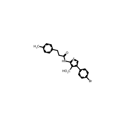 Cc1ccc(CCC(=O)Nc2scc(-c3ccc(Br)cc3)c2C(=O)O)cc1